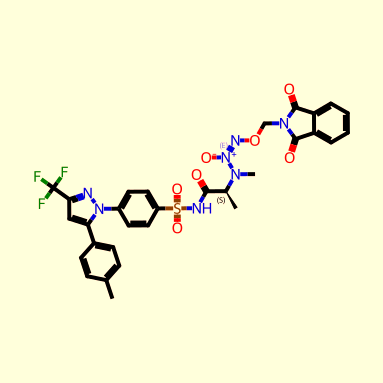 Cc1ccc(-c2cc(C(F)(F)F)nn2-c2ccc(S(=O)(=O)NC(=O)[C@H](C)N(C)/[N+]([O-])=N\OCN3C(=O)c4ccccc4C3=O)cc2)cc1